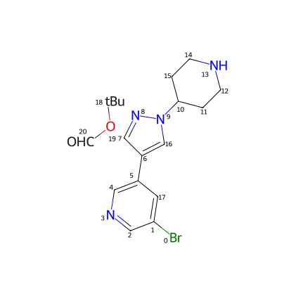 Brc1cncc(-c2cnn(C3CCNCC3)c2)c1.CC(C)(C)OC=O